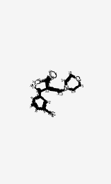 O=C1ON=C(c2cccc(F)c2)C1=CN1CCOCC1